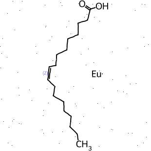 CCCCCCCC/C=C\CCCCCCCC(=O)O.[Eu]